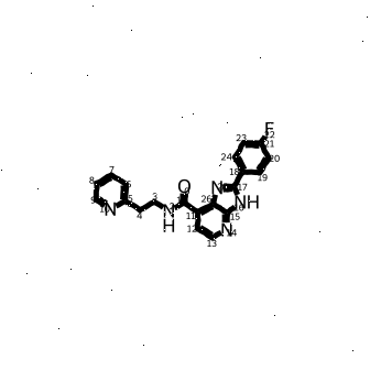 O=C(NCCc1ccccn1)c1ccnc2[nH]c(-c3ccc(F)cc3)nc12